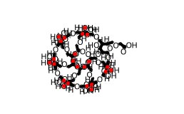 O=C(O)COC[C@H]1O[C@@H]2O[C@H]3[C@@H](O)[C@H](O)[C@@H](O[C@H]4[C@@H](O)[C@H](O)[C@@H](O[C@H]5[C@@H](O)[C@H](O)[C@@H](O[C@H]6[C@@H](O)[C@H](O)[C@@H](O[C@H]7[C@@H](O)[C@H](O)[C@@H](O[C@H]8[C@@H](O)[C@H](O)[C@@H](O[C@H]1[C@@H](O)[C@@H]2O)O[C@@H]8COCC(=O)O)O[C@@H]7COCC(=O)O)O[C@@H]6COCC(=O)O)O[C@@H]5COCC(=O)O)O[C@@H]4COCC(=O)O)O[C@@H]3COCC(=O)O